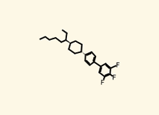 CCCCCC(CC)[C@H]1CC[C@H](c2ccc(-c3cc(F)c(F)c(F)c3)cc2)CC1